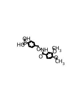 COc1ccc(C(=O)NOCc2ccc(B(O)O)cc2)cc1OC